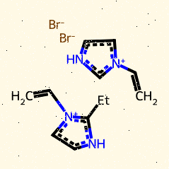 C=C[n+]1cc[nH]c1.C=C[n+]1cc[nH]c1CC.[Br-].[Br-]